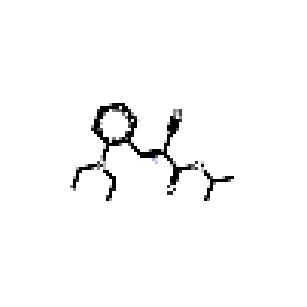 CCN(CC)c1ccccc1/C=C(\C#N)C(=O)OC(C)C